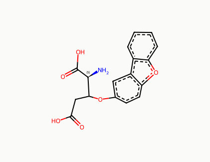 N[C@H](C(=O)O)C(CC(=O)O)Oc1ccc2oc3ccccc3c2c1